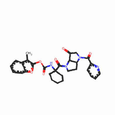 Cc1c(OC(=O)NC2(C(=O)N3CCC4C3C(=O)CN4C(=O)c3ccccn3)CCCCC2)oc2ccccc12